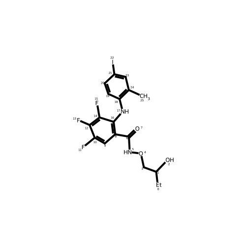 CCC(O)CONC(=O)c1cc(F)c(F)c(F)c1Nc1ccc(I)cc1C